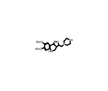 COc1cc2c(cc1OC)C1=NOC(CN3CCNCC3)C1CN2